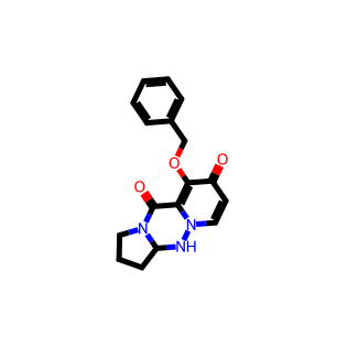 O=C1c2c(OCc3ccccc3)c(=O)ccn2NC2CCCN12